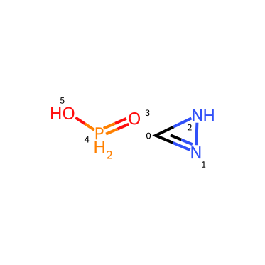 C1=NN1.O=[PH2]O